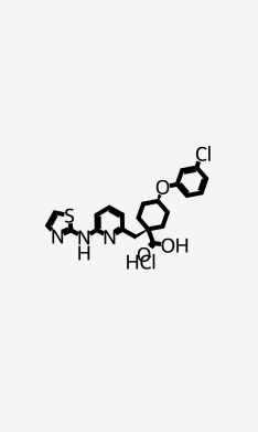 Cl.O=C(O)[C@]1(Cc2cccc(Nc3nccs3)n2)CC[C@@H](Oc2cccc(Cl)c2)CC1